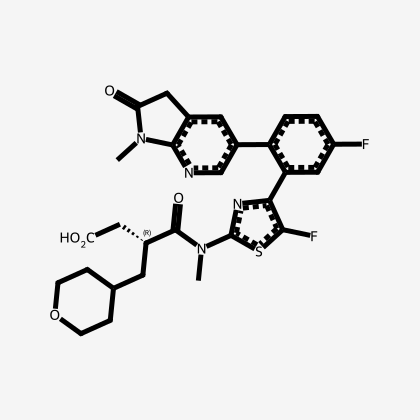 CN(C(=O)[C@@H](CC(=O)O)CC1CCOCC1)c1nc(-c2cc(F)ccc2-c2cnc3c(c2)CC(=O)N3C)c(F)s1